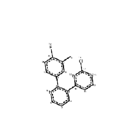 Cc1cc(-c2ncccc2-c2ccnc(Cl)n2)ccc1F